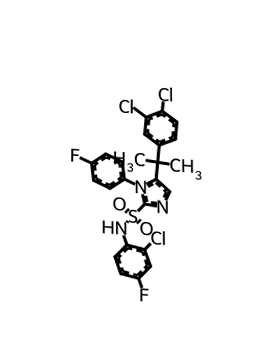 CC(C)(c1ccc(Cl)c(Cl)c1)c1cnc(S(=O)(=O)Nc2ccc(F)cc2Cl)n1-c1ccc(F)cc1